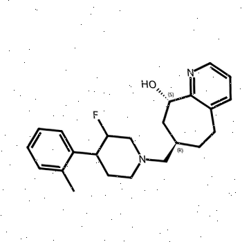 Cc1ccccc1C1CCN(C[C@@H]2CCc3cccnc3[C@@H](O)C2)CC1F